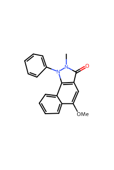 COc1cc2c(=O)n(C)n(-c3ccccc3)c2c2ccccc12